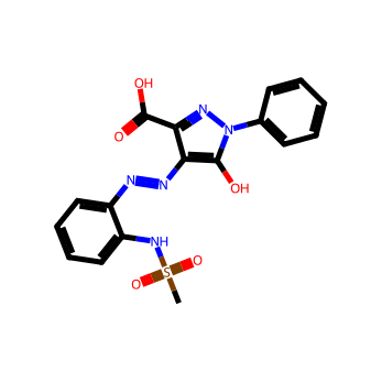 CS(=O)(=O)Nc1ccccc1N=Nc1c(C(=O)O)nn(-c2ccccc2)c1O